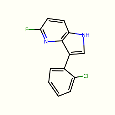 Fc1ccc2[nH]cc(-c3ccccc3Cl)c2n1